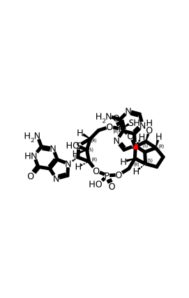 Nc1nc2c(ncn2[C@@H]2S[C@@H]3CO[P@@](=O)(S)O[C@H]4[C@@H](O)[C@@H]5CC[C@H](C5n5cnc6c(N)ncnc65)[C@@H]4COP(=O)(O)O[C@@H]2[C@@H]3O)c(=O)[nH]1